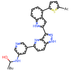 CCCCC(O)Nc1cncc(-c2ccc3[nH]nc(-c4cc5c(-c6ccc(C(C)=O)s6)cccc5[nH]4)c3n2)c1